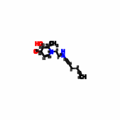 C#CCCC#CNCCn1ccc(=O)c(O)c1C